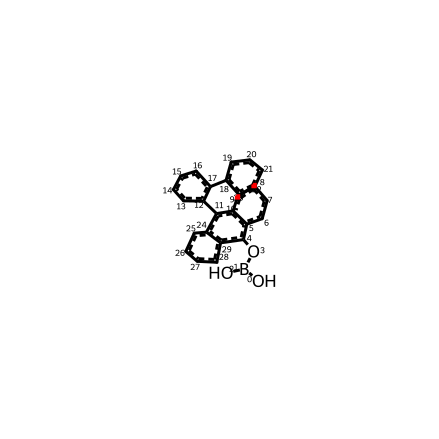 OB(O)Oc1c2ccccc2c(-c2ccccc2-c2ccccc2)c2ccccc12